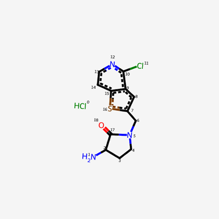 Cl.NC1CCN(Cc2cc3c(Cl)nccc3s2)C1=O